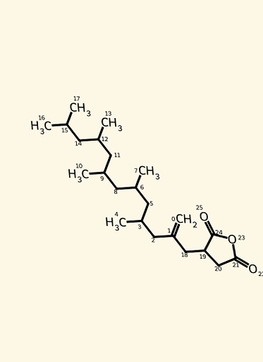 C=C(CC(C)CC(C)CC(C)CC(C)CC(C)C)CC1CC(=O)OC1=O